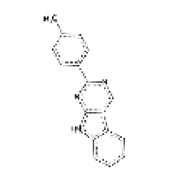 Cc1ccc(-c2ncc3c(n2)[nH]c2ccccc23)cc1